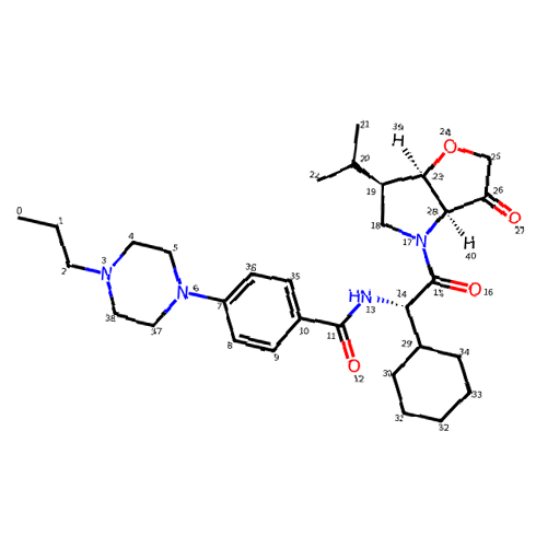 CCCN1CCN(c2ccc(C(=O)N[C@H](C(=O)N3C[C@@H](C(C)C)[C@H]4OCC(=O)[C@H]43)C3CCCCC3)cc2)CC1